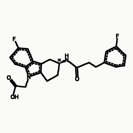 O=C(O)Cn1c2c(c3cc(F)ccc31)C[C@@H](NC(=O)CCc1cccc(F)c1)CC2